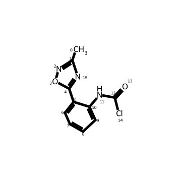 Cc1noc(-c2ccccc2NC(=O)Cl)n1